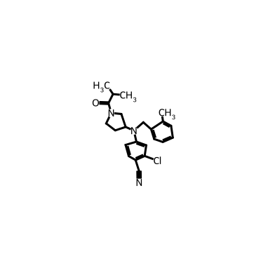 Cc1ccccc1CN(c1ccc(C#N)c(Cl)c1)C1CCN(C(=O)C(C)C)C1